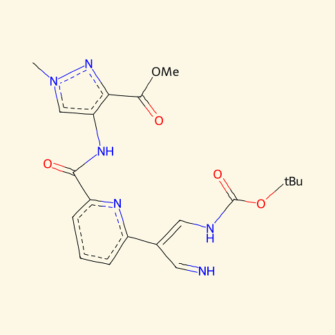 COC(=O)c1nn(C)cc1NC(=O)c1cccc(/C(C=N)=C/NC(=O)OC(C)(C)C)n1